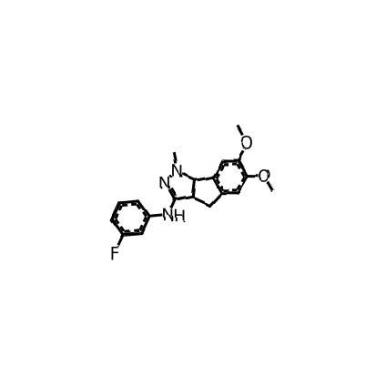 COc1cc2c(cc1OC)C1C(C2)C(Nc2cccc(F)c2)=NN1C